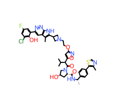 Cc1ncsc1-c1ccc([C@H](C)NC(=O)[C@@H]2C[C@@H](O)CN2C(=O)C(c2cc(OCCN3CC(c4[nH]c5nnc(-c6cc(F)cc(Cl)c6O)cc5c4C)C3)no2)C(C)C)cc1